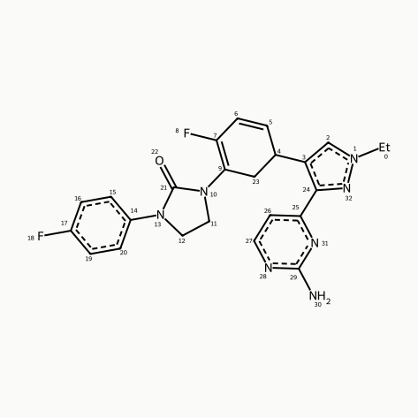 CCn1cc(C2C=CC(F)=C(N3CCN(c4ccc(F)cc4)C3=O)C2)c(-c2ccnc(N)n2)n1